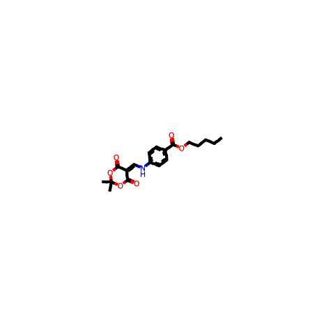 CCCCCOC(=O)c1ccc(NC=C2C(=O)OC(C)(C)OC2=O)cc1